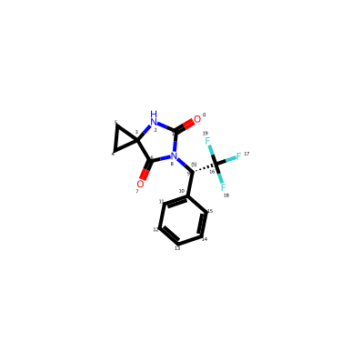 O=C1NC2(CC2)C(=O)N1[C@@H](c1ccccc1)C(F)(F)F